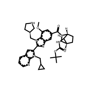 COc1cc(C(=O)N2C[C@H]3CC[C@@H]2[C@@H]3NC(=O)OC(C)(C)C)cc2nc(-c3cc4cccnc4n3CC3CC3)n(C[C@H]3CCNC3)c12